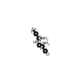 Nc1nc(Nc2ccc3nc(-c4ccc(Cl)cc4)cc(N)c3c2)cc(-c2ccc(C(F)(F)F)cc2)n1